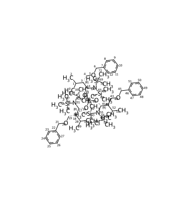 CC(C)[C@H](COCc1ccccc1)[C@@H](OB(O[C@H]([C@@H](COCc1ccccc1)C(C)C)N([Si](C)(C)C)[Si](C)(C)C)O[C@H]([C@@H](COCc1ccccc1)C(C)C)N([Si](C)(C)C)[Si](C)(C)C)N([Si](C)(C)C)[Si](C)(C)C